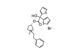 C[N+]1(CCc2ccccc2)CC[C@H](OC(=O)C(O)(c2cccs2)c2cccs2)C1.[Br-]